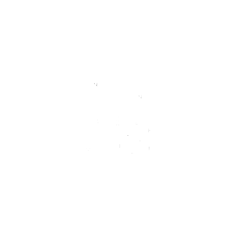 N#Cc1sc(C=O)c(C(F)(F)C(F)(F)F)c1C#N